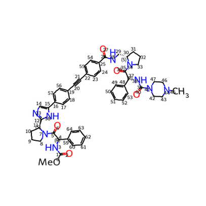 COC(=O)N[C@@H](C(=O)N1CCC[C@H]1c1ncc(-c2ccc(C#Cc3ccc(C(=O)NC[C@@H]4CCCN4C(=O)[C@H](NC(=O)N4CCN(C)CC4)c4ccccc4)cc3)cc2)[nH]1)c1ccccc1